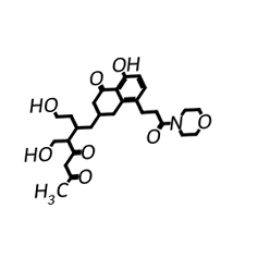 CC(=O)CC(=O)C(CO)C(CCO)CC1CC(=O)c2c(O)ccc(CCC(=O)N3CCOCC3)c2C1